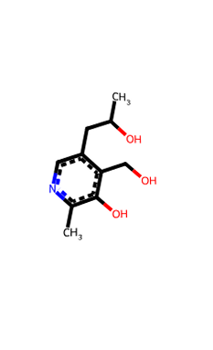 Cc1ncc(CC(C)O)c(CO)c1O